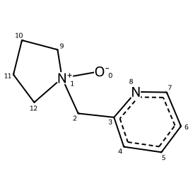 [O-][N+]1(Cc2ccccn2)CCCC1